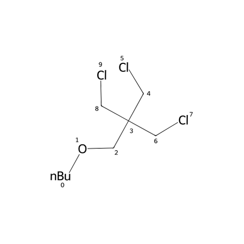 CCCCOCC(CCl)(CCl)CCl